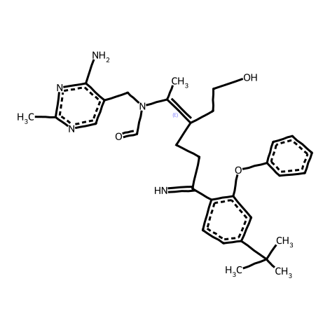 C/C(=C(\CCO)CCC(=N)c1ccc(C(C)(C)C)cc1Oc1ccccc1)N(C=O)Cc1cnc(C)nc1N